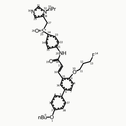 CCCCOc1ccc(-c2ccc(OCCCF)c(/C=C/C(=O)Nc3ccc([S@@+]([O-])Cc4cncn4CCC)cc3)c2)cc1